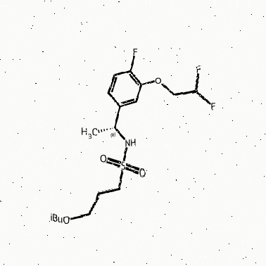 CC(C)COCCCS(=O)(=O)N[C@H](C)c1ccc(F)c(OCC(F)F)c1